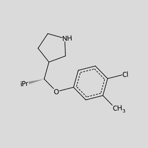 Cc1cc(O[C@H](C(C)C)C2CCNC2)ccc1Cl